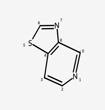 [c]1nccc2scnc12